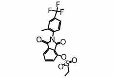 CCS(=O)(=O)Oc1cccc2c1C(=O)N(c1ccc(C(F)(F)F)cc1C)C2=O